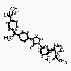 CNC(=O)C1CCN(C(C)c2ccc(N3CCN(c4cccc(-c5nncn5C(C)C)n4)C3=O)cc2)CC1